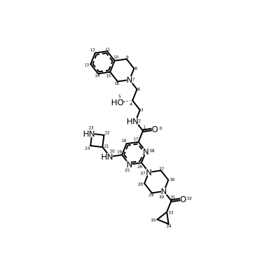 O=C(NC[C@H](O)CN1CCc2ccccc2C1)c1cc(NC2CNC2)nc(N2CCN(C(=O)C3CC3)CC2)n1